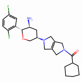 N[C@H]1C[C@@H](N2CC3=C(CN(C(=O)C4CCCCC4)C3)C2)CO[C@@H]1c1cc(F)ccc1F